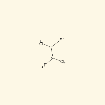 F[C](Cl)C(F)Cl